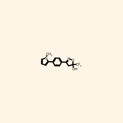 Cn1cccc1-c1ccc(C2=NOC(O)(C(F)(F)F)C2)cc1